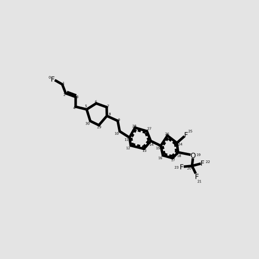 FC/C=C/CC1CCC(CCc2ccc(-c3ccc(OC(F)(F)F)c(F)c3)cc2)CC1